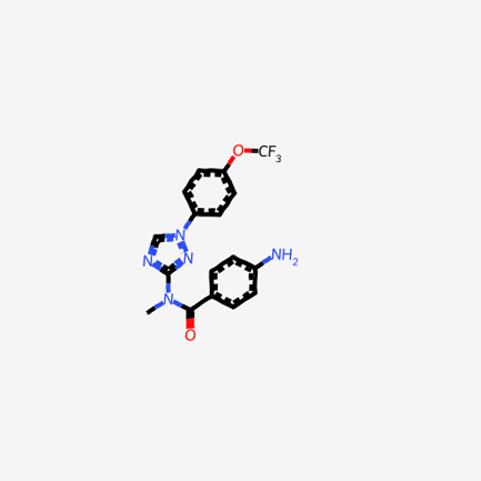 CN(C(=O)c1ccc(N)cc1)c1ncn(-c2ccc(OC(F)(F)F)cc2)n1